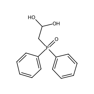 O=P(CC(O)O)(c1ccccc1)c1ccccc1